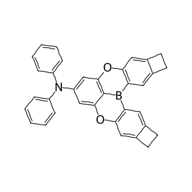 c1ccc(N(c2ccccc2)c2cc3c4c(c2)Oc2cc5c(cc2B4c2cc4c(cc2O3)CC4)CC5)cc1